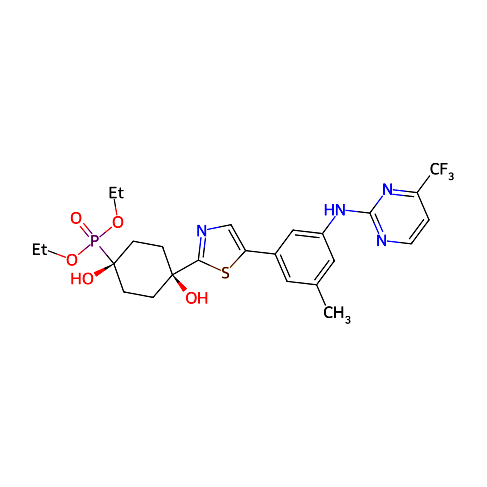 CCOP(=O)(OCC)[C@]1(O)CC[C@](O)(c2ncc(-c3cc(C)cc(Nc4nccc(C(F)(F)F)n4)c3)s2)CC1